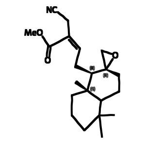 COC(=O)C(=CC[C@H]1[C@]2(CCC3C(C)(C)CCC[C@@]31C)CO2)CC#N